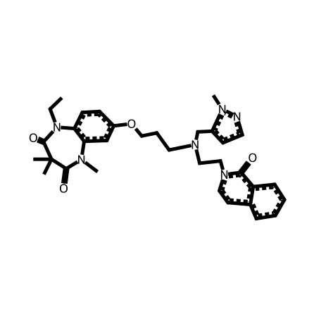 CCN1C(=O)C(C)(C)C(=O)N(C)c2cc(OCCCN(CCn3ccc4ccccc4c3=O)Cc3ccnn3C)ccc21